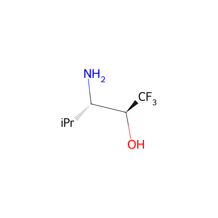 CC(C)[C@H](N)[C@H](O)C(F)(F)F